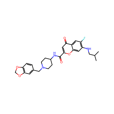 CC(C)CNc1cc2oc(C(=O)NC3CCN(Cc4ccc5c(c4)OCO5)CC3)cc(=O)c2cc1F